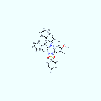 COc1c(C)cc(NS(=O)(=O)c2ccc(C)cc2)c(-n2c3ccc4ccccc4c3c3c4ccccc4ccc32)c1C